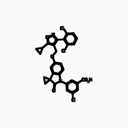 O=C(O)c1cc(Cl)cc(N2C(=O)C3(CC3)c3cc(OCc4c(-c5c(Cl)cccc5Cl)noc4C4CC4)ccc32)c1